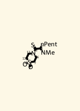 CCCCCC(NC)C(=S)N1CCS(=O)(=O)CC1